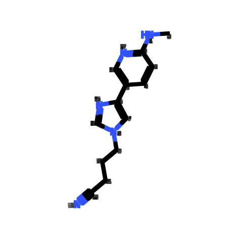 CNc1ccc(-c2cn(CCCC#N)cn2)cn1